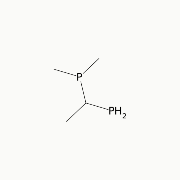 CC(P)P(C)C